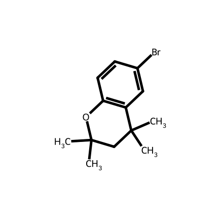 CC1(C)CC(C)(C)c2cc(Br)ccc2O1